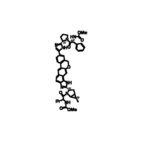 COC(=O)NC(C(=O)N1C2C(C[C@H]1c1nc3ccc4cc5c(cc4c3[nH]1)OCc1cc(-c3cnc([C@@H]4CCCN4C(=O)[C@H](NC(=O)OC)c4ccccc4)[nH]3)ccc1-5)[C@H]2C)C(C)C